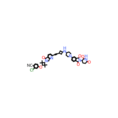 CC1(C)[C@H](Oc2ccc(C#N)c(Cl)c2)C(C)(C)[C@H]1N1Cc2nc(C#CC3CC(NC4CCN(c5ccc6c(c5)C(=O)N(C5CCC(=O)NC5=O)C6=O)CC4)C3)ccc2C1=O